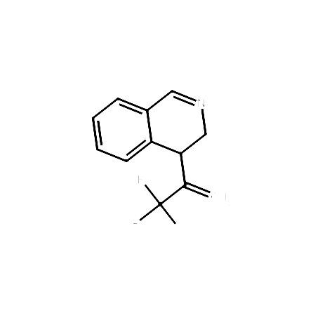 C=C(C1CN=Cc2ccccc21)C(F)(F)F